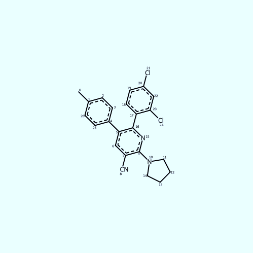 Cc1ccc(-c2cc(C#N)c(N3CCCC3)nc2-c2ccc(Cl)cc2Cl)cc1